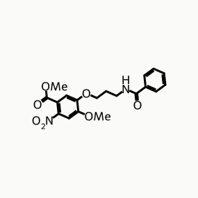 COC(=O)c1cc(OCCCNC(=O)c2ccccc2)c(OC)cc1[N+](=O)[O-]